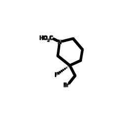 O=C(O)N1CCC[C@@](F)(CBr)C1